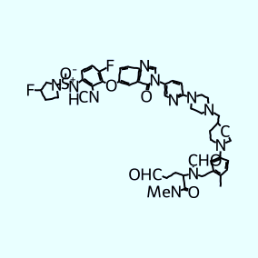 CNC(=O)C(CCC=O)N(C=O)Cc1cc(N2CCC(CN3CCN(c4ccc(-n5cnc6ccc(Oc7c(F)ccc(N[S+]([O-])N8CCC(F)C8)c7C#N)cc6c5=O)cn4)CC3)CC2)ccc1C